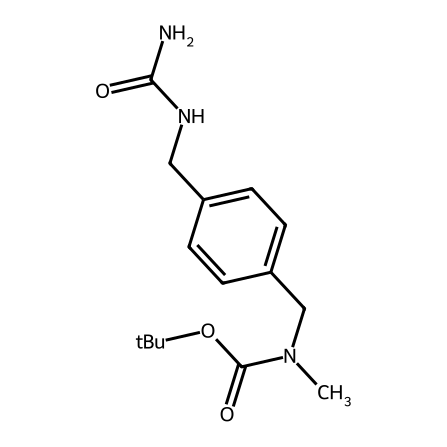 CN(Cc1ccc(CNC(N)=O)cc1)C(=O)OC(C)(C)C